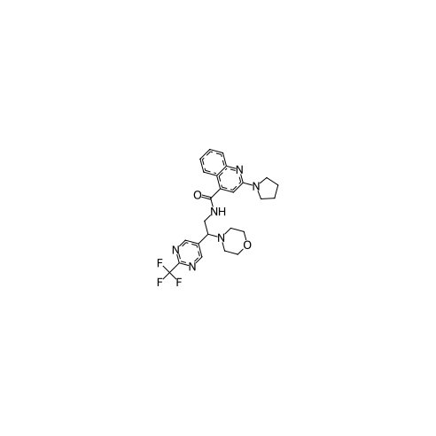 O=C(NCC(c1cnc(C(F)(F)F)nc1)N1CCOCC1)c1cc(N2CCCC2)nc2ccccc12